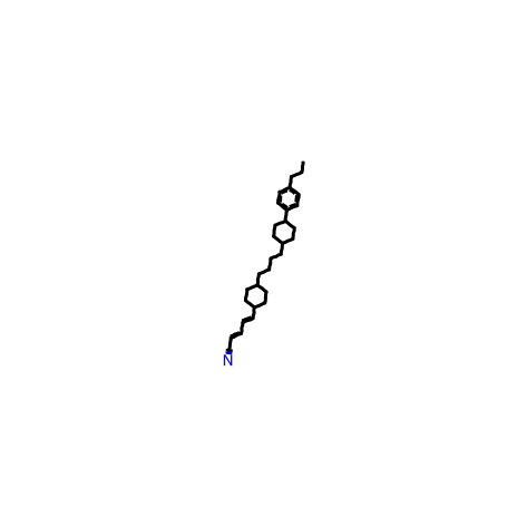 CCCc1ccc(C2CCC(CCCCC3CCC(C=CC=CC#N)CC3)CC2)cc1